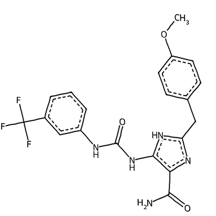 COc1ccc(Cc2nc(C(N)=O)c(NC(=O)Nc3cccc(C(F)(F)F)c3)[nH]2)cc1